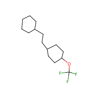 FC(F)(F)OC1CCC(CCC2CCCCC2)CC1